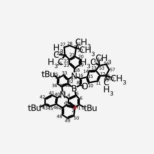 CC(C)(C)c1ccc2c(c1)B1c3oc4cc5c(cc4c3N(c3ccc4c(c3)C(C)(C)CCC4(C)C)c3cc(C(C)(C)C)cc(c31)N2c1ccc(C(C)(C)C)cc1-c1ccccc1)C(C)(C)CCC5(C)C